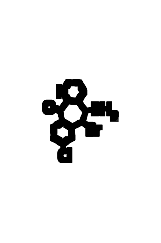 BC1c2cccnc2C(=O)c2ccc(Cl)cc2C1Br